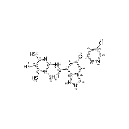 O=C(Nc1nc(S)c(S)c(S)c1S)c1cc(Oc2cncc(Cl)c2)cn2cnnc12